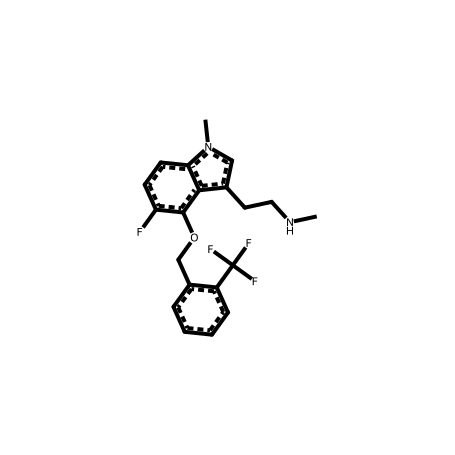 CNCCc1cn(C)c2ccc(F)c(OCc3ccccc3C(F)(F)F)c12